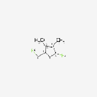 CC1=C(C)C(CF)CC1F